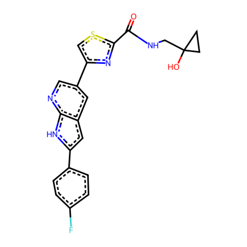 O=C(NCC1(O)CC1)c1nc(-c2cnc3[nH]c(-c4ccc(F)cc4)cc3c2)cs1